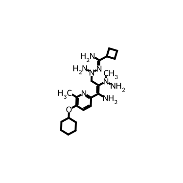 Cc1nc(/C(N)=C(\CN(N)/N=C(\N)C2CCC2)N(C)N)ccc1OC1CCCCC1